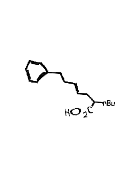 CCCCC(CC=CCCc1ccccc1)C(=O)O